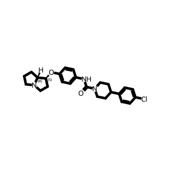 O=C(Nc1ccc(O[C@H]2CCN3CCC[C@H]23)cc1)N1CCC(c2ccc(Cl)cc2)CC1